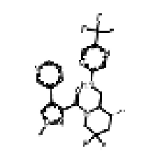 C[C@@H]1CC(F)(F)CN(C(=O)c2nn(C)cc2-c2cccnc2)C1CNc1cnc(C(F)(F)F)cn1